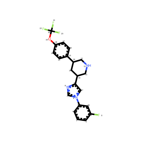 Fc1cccc(-n2cnc(C3CNCC(c4ccc(OC(F)(F)F)cc4)C3)c2)c1